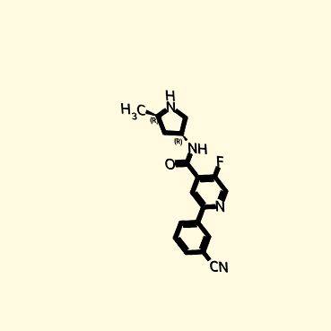 C[C@@H]1C[C@@H](NC(=O)c2cc(-c3cccc(C#N)c3)ncc2F)CN1